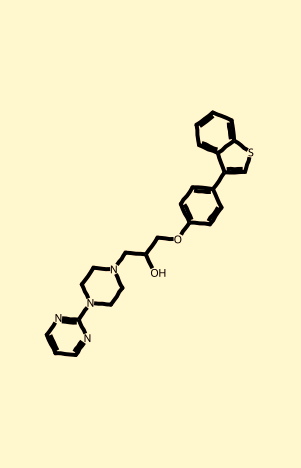 OC(COc1ccc(-c2csc3ccccc23)cc1)CN1CCN(c2ncccn2)CC1